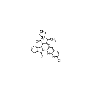 CCOC(=O)C(C(=O)C(C)C)C1c2ccccc2C(=O)N1c1ccc2ccc(Cl)nc2n1